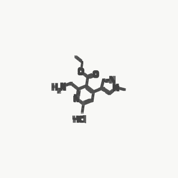 CCOC(=O)c1c(-c2cnn(C)c2)cc(C)nc1CN.Cl